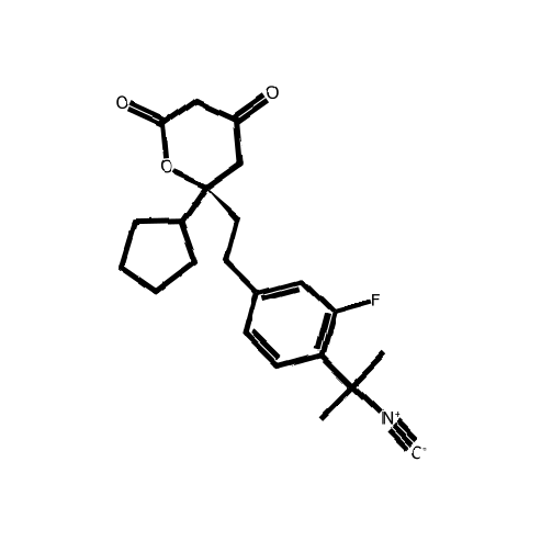 [C-]#[N+]C(C)(C)c1ccc(CC[C@]2(C3CCCC3)CC(=O)CC(=O)O2)cc1F